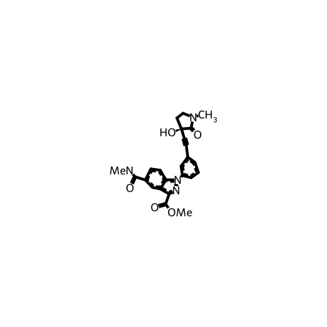 CNC(=O)c1ccc2c(c1)c(C(=O)OC)nn2-c1cccc(C#C[C@]2(O)CCN(C)C2=O)c1